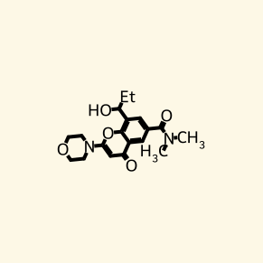 CCC(O)c1cc(C(=O)N(C)C)cc2c(=O)cc(N3CCOCC3)oc12